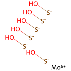 O[S-].O[S-].O[S-].O[S-].O[S-].O[S-].[Mo+6]